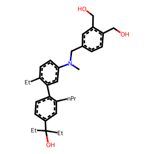 CCCc1cc(C(O)(CC)CC)ccc1-c1cc(N(C)Cc2ccc(CO)c(CO)c2)ccc1CC